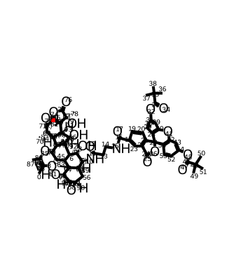 CC(=O)O[C@H]1C2C([C@@H](O)[C@@H](NC(=O)CCNC(=O)c3ccc4c(c3)C(=O)OC43c4ccc(OC(=O)C(C)(C)C)cc4Oc4cc(OC(=O)C(C)(C)C)ccc43)[C@H]3C[C@@H]4O[C@@H]4[C@H](O)[C@]23C)[C@@H]2[C@@H](O)[C@@H]3[C@H]([C@H](C)[C@H]4O[C@]45OC(=O)[C@@](C)(O)[C@]35C)[C@@]2(C)[C@H]1OC(C)=O